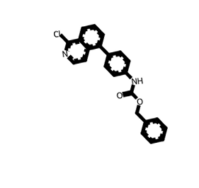 O=C(Nc1ccc(-c2cccc3c(Cl)nccc23)cc1)OCc1ccccc1